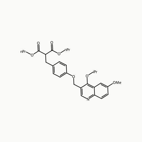 CCCOC(=O)C(Cc1ccc(OCc2cnc3ccc(OC)cc3c2OC(C)C)cc1)C(=O)OCCC